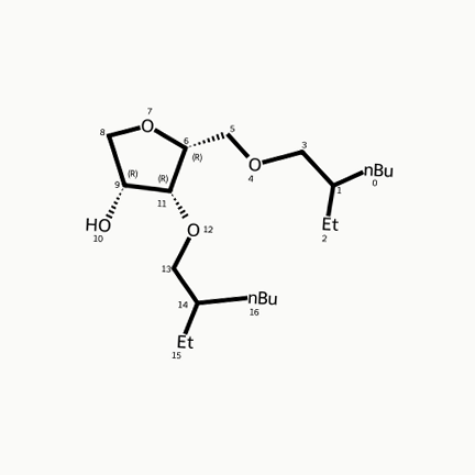 CCCCC(CC)COC[C@H]1OC[C@@H](O)[C@H]1OCC(CC)CCCC